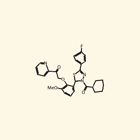 COc1cccc(C2SC(c3ccc(F)cc3)=NN2C(=O)C2CCCCC2)c1OCC(=O)c1ccccn1